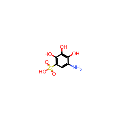 Nc1cc(S(=O)(=O)O)c(O)c(O)c1O